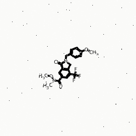 COc1ccc(CN2Cc3c(cc(C(=O)N(C)OC)cc3C(F)(F)F)C2=O)cc1